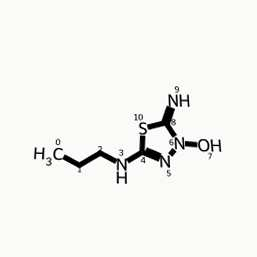 CCCNc1nn(O)c(=N)s1